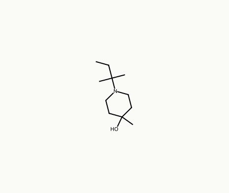 CCC(C)(C)N1CCC(C)(O)CC1